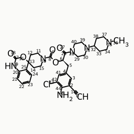 C#Cc1cc(C[C@@H](OC(=O)N2CCC3(CC2)OC(=O)Nc2ccccc23)C(=O)N2CCN(C3CCN(C)CC3)CC2)cc(Cl)c1N